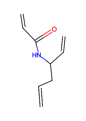 C=CCC(C=C)NC(=O)C=C